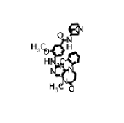 COc1cc(C(=O)NC2CN3CCC2CC3)ccc1Nc1ncc2c(n1)N(c1ccccc1C)CCC(=O)N2C